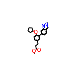 COC(=O)CCc1ccc(OC2CCCC2)c(-c2ccc3cn(C)nc3c2)c1